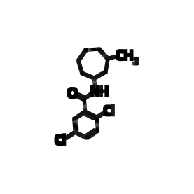 CC1CCCCC(NC(=O)c2cc(Cl)ccc2Cl)C1